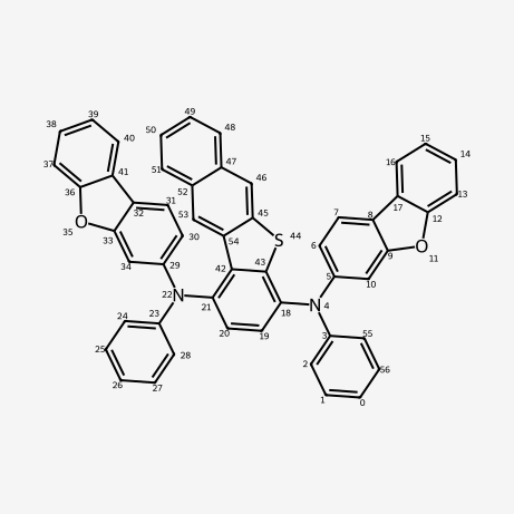 c1ccc(N(c2ccc3c(c2)oc2ccccc23)c2ccc(N(c3ccccc3)c3ccc4c(c3)oc3ccccc34)c3c2sc2cc4ccccc4cc23)cc1